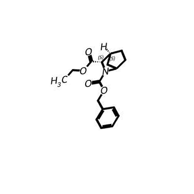 CCOC(=O)[C@@H]1[C@H]2CCC(C2)N1C(=O)OCc1ccccc1